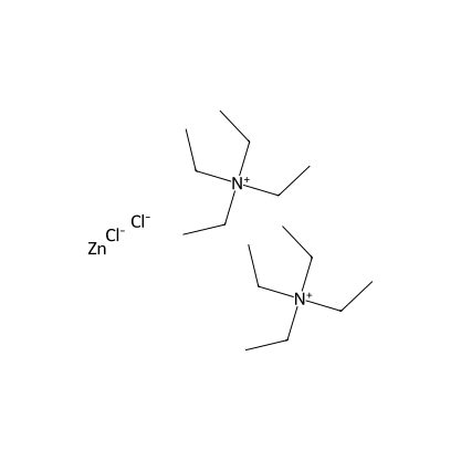 CC[N+](CC)(CC)CC.CC[N+](CC)(CC)CC.[Cl-].[Cl-].[Zn]